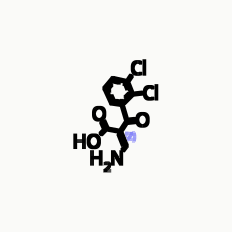 N/C=C(\C(=O)O)C(=O)c1cccc(Cl)c1Cl